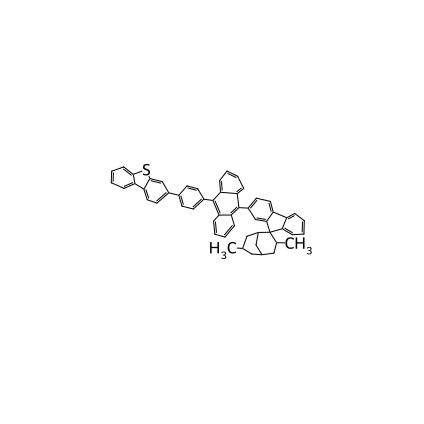 CC1CC2CC(C)C3(c4ccccc4-c4ccc(-c5c6ccccc6c(-c6ccc(-c7ccc8c(c7)sc7ccccc78)cc6)c6ccccc56)cc43)C(C1)C2